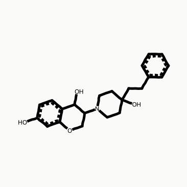 Oc1ccc2c(c1)OCC(N1CCC(O)(CCc3ccccc3)CC1)C2O